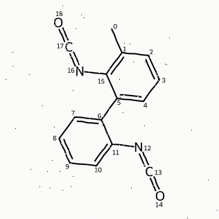 Cc1cccc(-c2ccccc2N=C=O)c1N=C=O